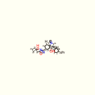 CC(C)c1ccc([C@](O)(c2cccc(-c3noc(CC4(O)CCC4)n3)c2)C2(C)CN(C)C2)cc1